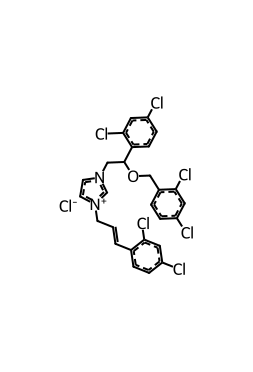 Clc1ccc(/C=C/C[n+]2ccn(CC(OCc3ccc(Cl)cc3Cl)c3ccc(Cl)cc3Cl)c2)c(Cl)c1.[Cl-]